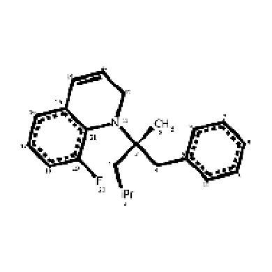 CC(C)C[C@@](C)(Cc1ccccc1)N1CC=Cc2cccc(F)c21